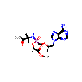 CC(C)COC(=O)C(C)(C)NP(=O)(CO[C@H](C)Cn1cnc2c(N)ncnc21)O[C@@H](C)C(=O)OC(C)C